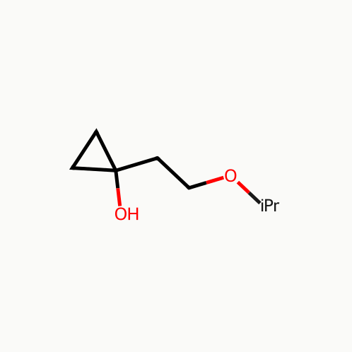 CC(C)OCCC1(O)CC1